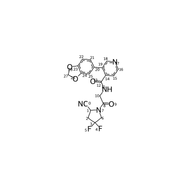 N#CC1CC(F)(F)CN1C(=O)CNC(=O)c1ccncc1-c1ccc2c(c1)OCO2